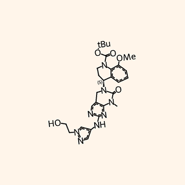 COc1cccc2c1N(C(=O)OC(C)(C)C)CC[C@@H]2N1Cc2cnc(Nc3cnn(CCO)c3)nc2N(C)C1=O